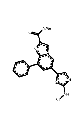 CCC(C)Nc1ncc(-c2cc(-c3ccccc3)c3nc(C(=O)NC)cn3c2)s1